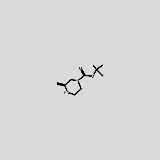 C=C1CN(C(=O)OC(C)(C)C)CCN1